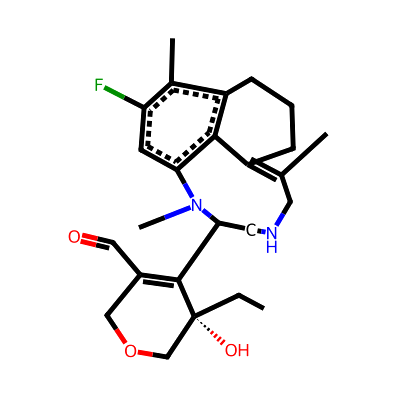 CC[C@@]1(O)COCC(C=O)=C1C1CNC/C(C)=C2\CCCc3c(C)c(F)cc(c32)N1C